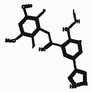 COc1cc(OC)c(F)c(CC(=N)c2cc(-c3cn[nH]c3)cnc2NPI)c1F